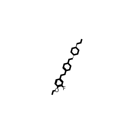 CCC[C@H]1CC[C@H](CCC2CC=C(CCc3ccc(OCC)c(F)c3)CC2)CC1